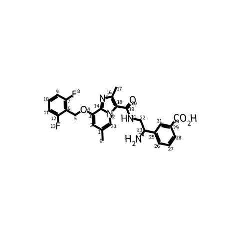 Cc1cc(OCc2c(F)cccc2F)c2nc(C)c(C(=O)NCC(N)c3cccc(C(=O)O)c3)n2c1